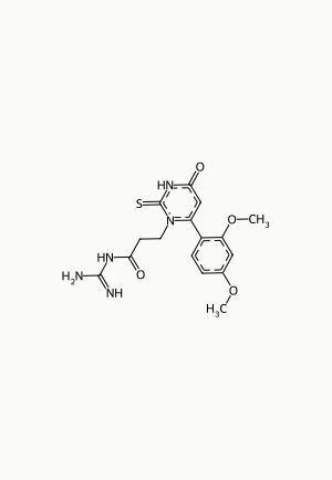 COc1ccc(-c2cc(=O)[nH]c(=S)n2CCC(=O)NC(=N)N)c(OC)c1